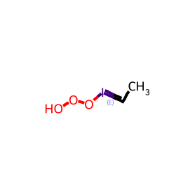 C/C=I/OOO